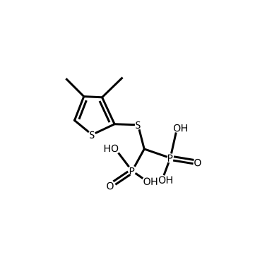 Cc1csc(SC(P(=O)(O)O)P(=O)(O)O)c1C